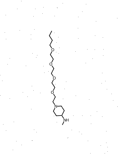 CCCCOCCOCCOCCOCCN1CCC(NC)CC1